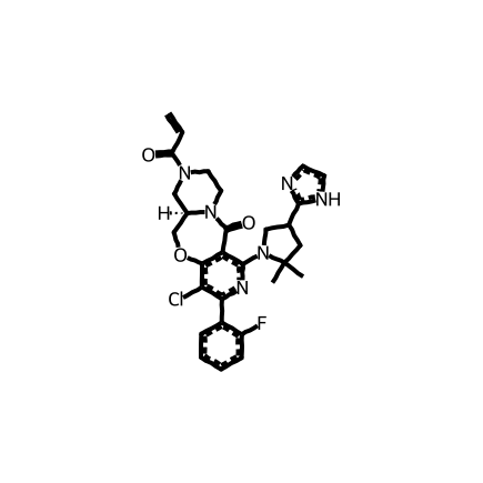 C=CC(=O)N1CCN2C(=O)c3c(N4CC(c5ncc[nH]5)CC4(C)C)nc(-c4ccccc4F)c(Cl)c3OC[C@H]2C1